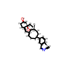 C#C/N=C\c1cc(C2CC/C=C3/C=C4CCC(=O)C[C@]45CC[C@]3(O5)[C@@H](C)CC2)ccc1C